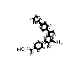 Nc1c(Br)c([C@H]2CC[C@@H](C(F)C(=O)O)CC2)nc2c(-c3ccc(-c4nccs4)nc3)cnn12